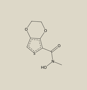 CN(O)C(=O)c1scc2c1OCCO2